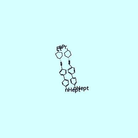 CCCCCCCc1ccc(-c2ccc(C#C[C@H]3CC[C@H](CC)CC3)cc2)cc1.CCCCCCCc1ccc(-c2ccc(C#C[C@H]3CC[C@H](CCC)CC3)cc2)cc1